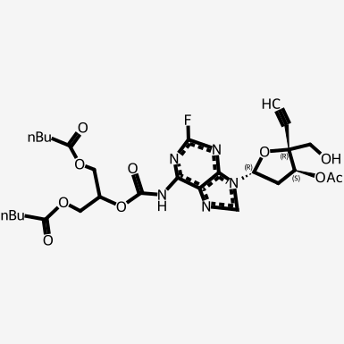 C#C[C@]1(CO)O[C@@H](n2cnc3c(NC(=O)OC(COC(=O)CCCC)COC(=O)CCCC)nc(F)nc32)C[C@@H]1OC(C)=O